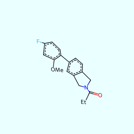 CCC(=O)N1Cc2ccc(-c3ccc(F)cc3OC)cc2C1